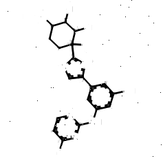 Cc1cc(Nc2nccc(C(F)(F)F)n2)cc(-c2cnc(C3(O)CCC(C(=O)O)C(C)C3C)s2)c1